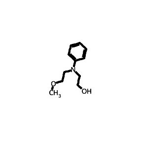 COCCN(CCO)c1ccccc1